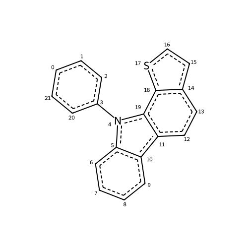 c1ccc(-n2c3ccccc3c3ccc4ccsc4c32)cc1